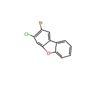 Clc1cc2oc3ccccc3c2cc1Br